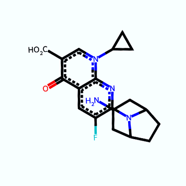 NC1CC2CCC(C1)N2c1nc2c(cc1F)c(=O)c(C(=O)O)cn2C1CC1